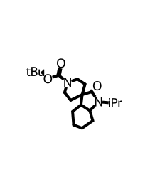 CC(C)N1C(=O)C2(CCN(C(=O)OC(C)(C)C)CC2)C2CCCCC21